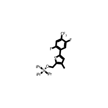 Cc1cc(-c2cc(F)c(C(F)(F)F)cc2F)sc1CO[Si](C(C)C)(C(C)C)C(C)C